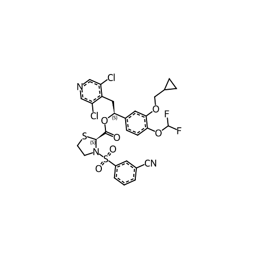 N#Cc1cccc(S(=O)(=O)N2CCS[C@H]2C(=O)O[C@@H](Cc2c(Cl)cncc2Cl)c2ccc(OC(F)F)c(OCC3CC3)c2)c1